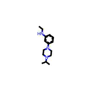 CCNc1cccc(N2CCN(C(C)C)CC2)c1